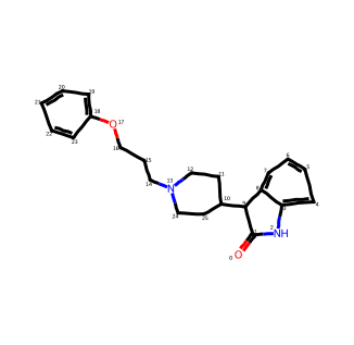 O=C1Nc2ccccc2C1C1CCN(CCCOc2ccccc2)CC1